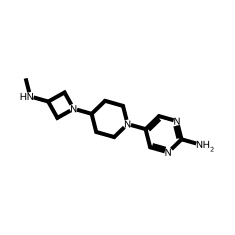 CNC1CN(C2CCN(c3cnc(N)nc3)CC2)C1